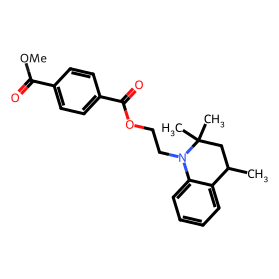 COC(=O)c1ccc(C(=O)OCCN2c3ccccc3C(C)CC2(C)C)cc1